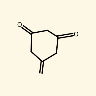 C=C1CC(=O)CC(=O)C1